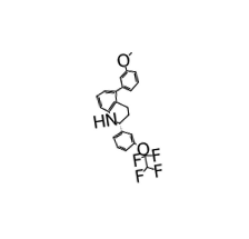 COc1cccc(-c2cccc3c2CC[C@H](c2cccc(OC(F)(F)C(F)F)c2)N3)c1